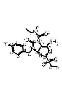 CCN(C)C(=O)n1c(=O)n(Cc2ccc(F)cc2)c2nc(S(=O)(=O)CC)nc(N)c21